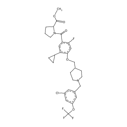 COC(=O)C1CCCN1C(=O)c1cc(C2CC2)c(OCC2CCN(Cc3cc(Cl)cc(OC(F)(F)F)c3)CC2)cc1F